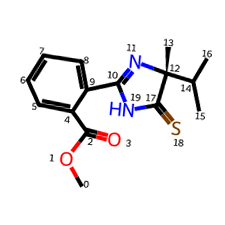 COC(=O)c1ccccc1C1=N[C@](C)(C(C)C)C(=S)N1